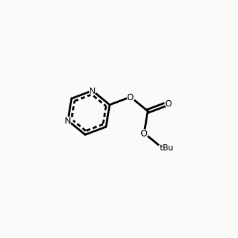 CC(C)(C)OC(=O)Oc1ccncn1